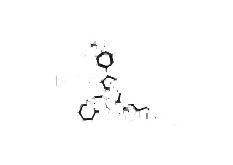 CCCCN(CCCN)C(=O)CN1C[C@H](c2ccc3c(c2)OCO3)[C@@H](C(=O)O)[C@@H]1CCN1CCCCC1=O